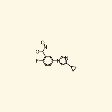 O=NC(=O)c1cc(-n2cnc(C3CC3)c2)ccc1F